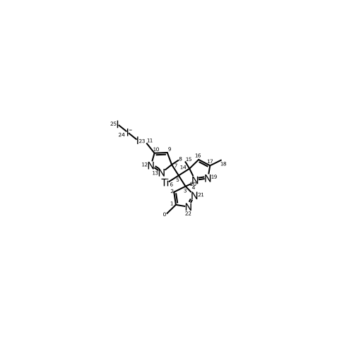 CC1=CC(C)([C]([Ti])(C2(C)C=C(C)N=N2)C2(C)C=C(C)N=N2)N=N1.I[I-]I